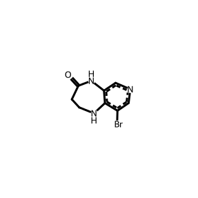 O=C1CCNc2c(Br)cncc2N1